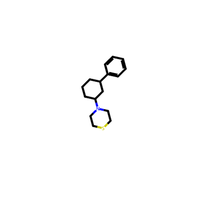 c1ccc(C2CCCC(N3CCSCC3)C2)cc1